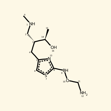 CNC[C@@H](Cc1csc(BOCN)n1)[C@@H](C)O